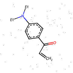 C=CC(=O)c1ccc(N(CC)CC)cc1